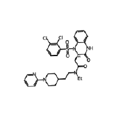 CCN(CCC1CCN(c2ccccn2)CC1)C(=O)C[C@@H]1C(=O)Nc2ccccc2N1S(=O)(=O)c1cccc(Cl)c1Cl